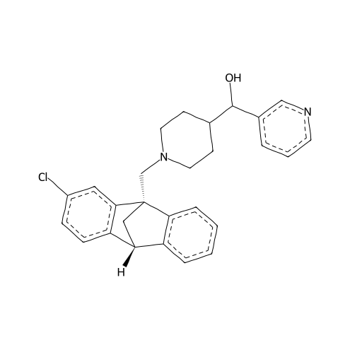 OC(c1cccnc1)C1CCN(C[C@@]23C[C@H](c4ccccc42)c2ccc(Cl)cc23)CC1